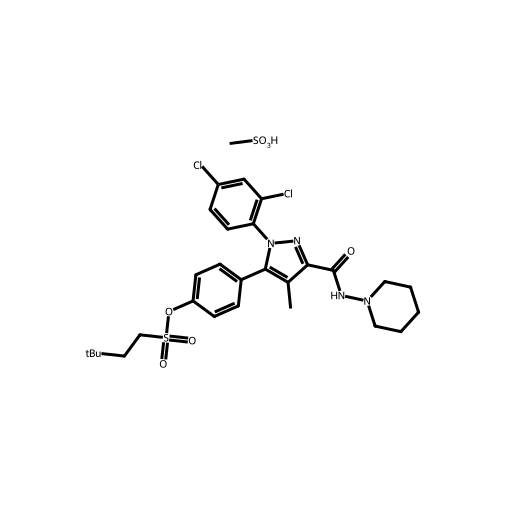 CS(=O)(=O)O.Cc1c(C(=O)NN2CCCCC2)nn(-c2ccc(Cl)cc2Cl)c1-c1ccc(OS(=O)(=O)CCC(C)(C)C)cc1